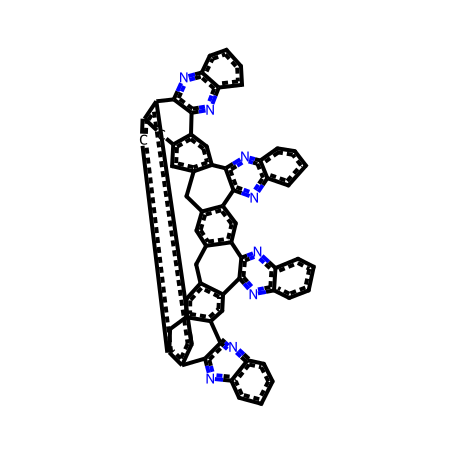 c1ccc2nc3c(nc2c1)-c1cc2c4cc1Cc1cc5c(cc1-3)-c1nc3ccccc3nc1-c1cc3c(cc1C5)Cc1cc(c(cc1-c1nc5ccccc5nc1-3)-c1nc3ccccc3nc1-2)C4